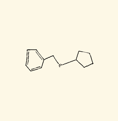 c1ccc(C[P]C2CCCC2)cc1